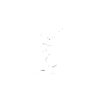 CCCCN(C)S(=O)(=O)N1CSC(N2C(=O)NCC2CO)=N1